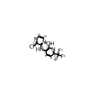 Oc1nc(C(F)(F)F)ccc1Nc1nccnc1Cl